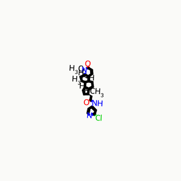 CN1C(=O)C=C[C@]2(C)[C@H]3CC[C@]4(C)[C@@H](CC(=O)Nc5ccnc(Cl)c5)CC[C@H]4[C@@H]3CC[C@@H]12